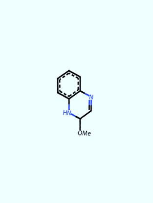 CO[C]1C=Nc2ccccc2N1